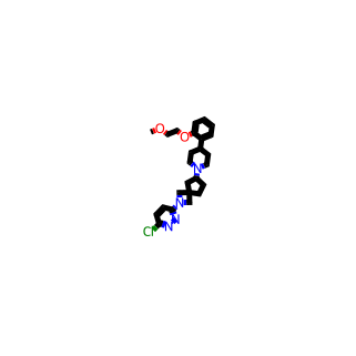 COCCOc1ccccc1C1CCN(C2CCC3(C2)CN(c2ccc(Cl)nn2)C3)CC1